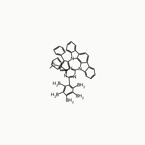 Bc1c(B)c(B)c(-c2nc(-c3ccccc3)nc(-n3c4ccccc4c4ccc5c6ccccc6n(-c6cccc(SC)c6-c6ccccc6)c5c43)n2)c(B)c1B